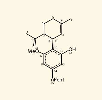 C=C(C)C1CCC(C)=C[C@H]1c1c(O)cc(CCCCC)cc1OC